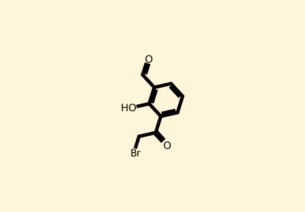 O=Cc1cccc(C(=O)CBr)c1O